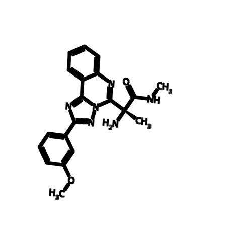 CNC(=O)[C@](C)(N)c1nc2ccccc2c2nc(-c3cccc(OC)c3)nn12